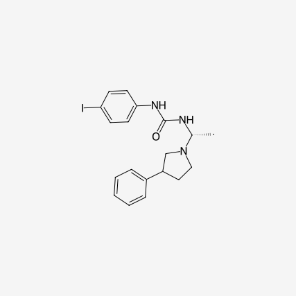 [CH2][C@@H](NC(=O)Nc1ccc(I)cc1)N1CCC(c2ccccc2)C1